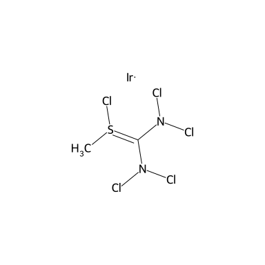 CS(Cl)=C(N(Cl)Cl)N(Cl)Cl.[Ir]